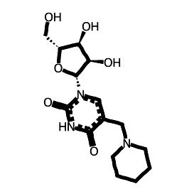 O=c1[nH]c(=O)n([C@@H]2O[C@H](CO)[C@@H](O)[C@H]2O)cc1CN1CCCCC1